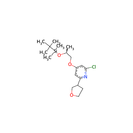 C[C@@H](COc1cc(Cl)nc(C2CCOC2)c1)O[Si](C)(C)C(C)(C)C